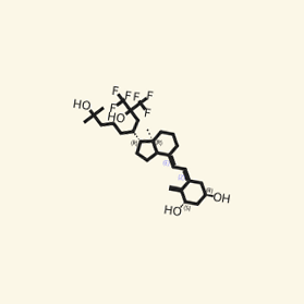 C=C1/C(=C\C=C2/CCC[C@@]3(C)C2CC[C@@H]3C(CCCC(C)(C)O)CC(O)(C(F)(F)F)C(F)(F)F)C[C@@H](O)C[C@@H]1O